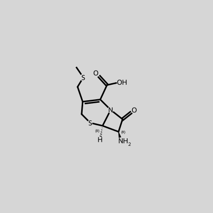 CSCC1=C(C(=O)O)N2C(=O)[C@@H](N)[C@H]2SC1